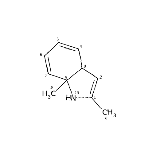 CC1=CC2C=CC=CC2(C)N1